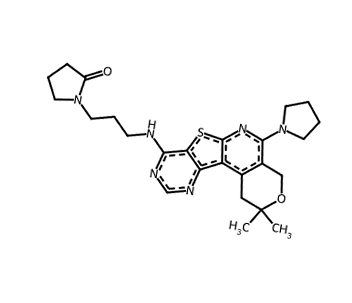 CC1(C)Cc2c(c(N3CCCC3)nc3sc4c(NCCCN5CCCC5=O)ncnc4c23)CO1